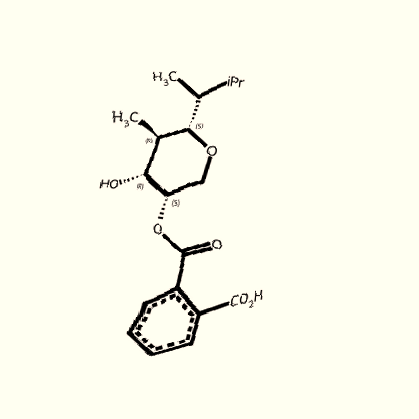 CC(C)C(C)[C@@H]1OC[C@H](OC(=O)c2ccccc2C(=O)O)[C@H](O)[C@H]1C